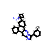 N#Cc1cccc(-c2cnc3cc(-c4ccccc4)c(-c4ccc(C5(N)CCC5)cc4)nn23)c1